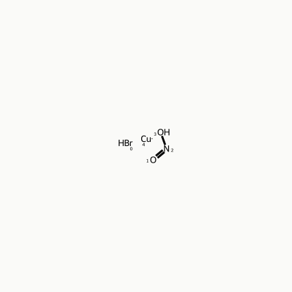 Br.O=NO.[Cu]